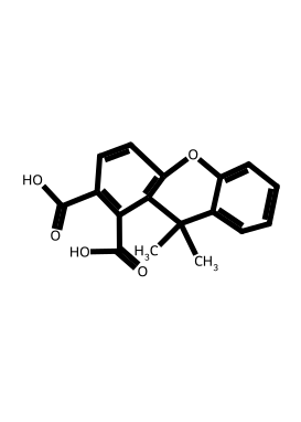 CC1(C)c2ccccc2Oc2ccc(C(=O)O)c(C(=O)O)c21